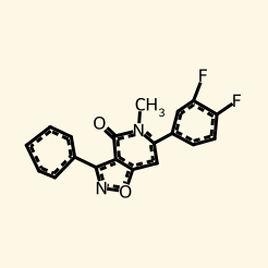 Cn1c(-c2ccc(F)c(F)c2)cc2onc(-c3ccccc3)c2c1=O